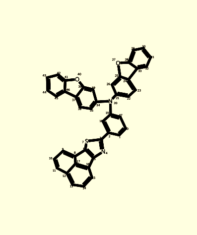 c1cc(-c2nc3c(s2)-c2cccc4cccc-3c24)cc(N(c2ccc3c(c2)oc2ccccc23)c2ccc3c(c2)oc2ccccc23)c1